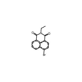 CCN1C(=O)c2cccc3c(Br)ccc(c23)C1=O